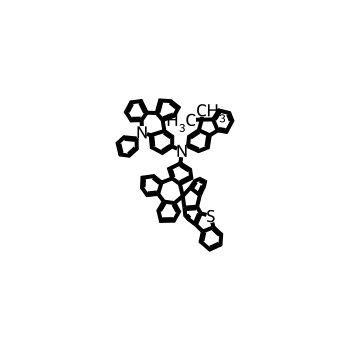 CC1(C)c2ccccc2-c2ccc(N(c3ccc4c(c3)-c3ccccc3-c3ccccc3N4c3ccccc3)c3ccc4c(c3)-c3ccccc3-c3ccccc3C43c4ccccc4-c4c3ccc3c4sc4ccccc43)cc21